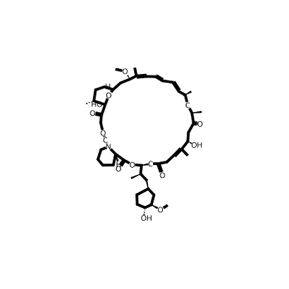 CO[C@H]1C[C@@H]2CC[C@@H](C)[C@@](O)(O2)C(=O)COCN2CCCC[C@H]2C(=O)O[C@H]([C@H](C)C[C@@H]2CC[C@@H](O)[C@H](OC)C2)CC(=O)C/C=C(\C)[C@@H](O)CC(=O)[C@H](C)C[C@H](C)/C=C/C=C/C=C/1C